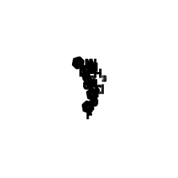 Cn1nnnc1/C(=N\OCc1nnc(-c2ccc(Oc3cccc(F)c3)cc2Cl)o1)c1ccccc1